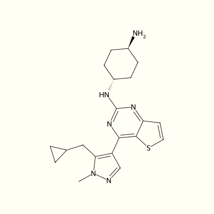 Cn1ncc(-c2nc(N[C@H]3CC[C@H](N)CC3)nc3ccsc23)c1CC1CC1